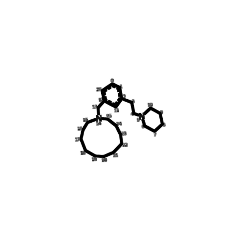 c1cc(CCN2CCCCC2)cc(CN2CCCCCCCCCCC2)c1